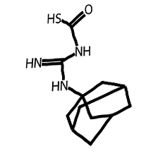 N=C(NC(=O)S)NC12CC3CC(CC(C3)C1)C2